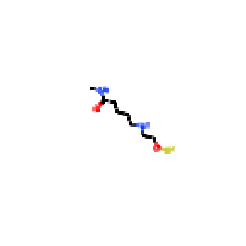 CNC(=O)CCCCNCCOS